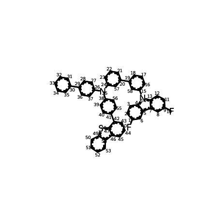 Fc1ccc2c(c1)c1cc(F)ccc1n2-c1cccc(-c2cccc(N(c3ccc(-c4ccccc4)cc3)c3ccc(-c4cccc5c4sc4ccccc45)cc3)c2)c1